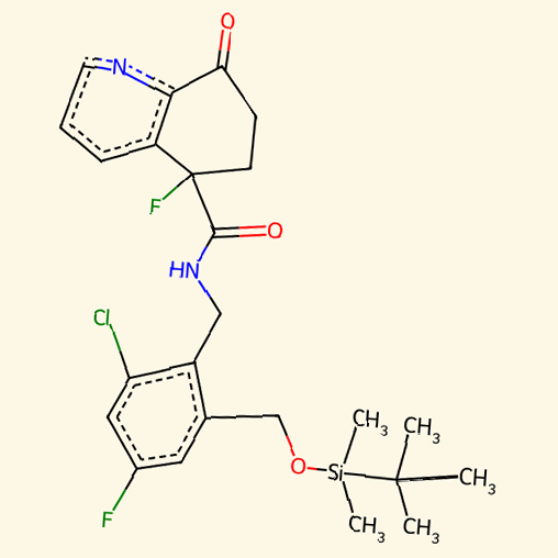 CC(C)(C)[Si](C)(C)OCc1cc(F)cc(Cl)c1CNC(=O)C1(F)CCC(=O)c2ncccc21